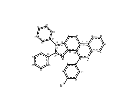 Brc1ccc(-c2nc3ccccc3c3ccc4c(nc(-c5ccccc5)n4-c4ccccc4)c23)cc1